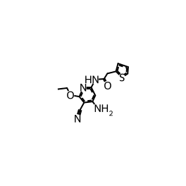 CCOc1nc(NC(=O)Cc2cccs2)cc(N)c1C#N